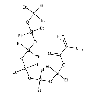 C=C(C)C(=O)O[Si](CC)(CC)O[Si](CC)(CC)O[Si](CC)(CC)O[Si](CC)(CC)O[Si](CC)(CC)O[Si](CC)(CC)CC